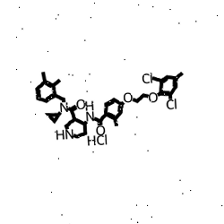 Cc1cc(Cl)c(OCCOc2ccc(C(=O)NC3CCNCC3C(=O)N(Cc3cccc(C)c3C)C3CC3)c(C)c2)c(Cl)c1.Cl